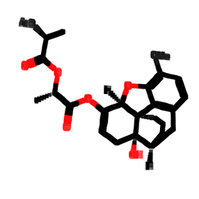 COc1ccc2c3c1O[C@@H]1C(OC(=O)[C@H](C)OC(=O)[C@H](C)OC(C)=O)=CC[C@]4(O)[C@@H](CCC[C@@]314)C2